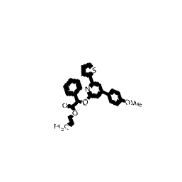 C=CCOC(=O)C(Oc1cc(-c2ccc(OC)cc2)cc(-c2cccs2)n1)c1ccccc1